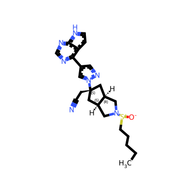 CCCCC[S+]([O-])N1C[C@@H]2C[C@@](CC#N)(n3cc(-c4ncnc5[nH]ccc45)cn3)C[C@@H]2C1